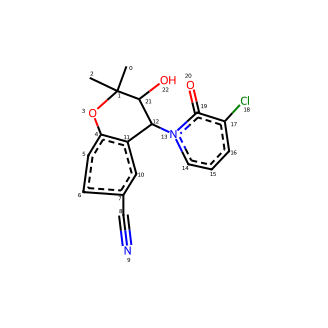 CC1(C)Oc2ccc(C#N)cc2C(n2cccc(Cl)c2=O)C1O